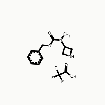 CN(C(=O)OCc1ccccc1)C1CNC1.O=C(O)C(F)(F)F